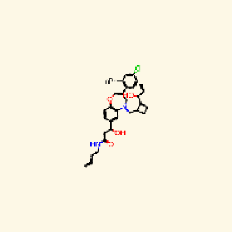 C=CCCNC(=O)CC(O)c1ccc2c(c1)N(CC1CCC1C(O)C=C)CC(c1ccc(Cl)cc1CCC)CO2